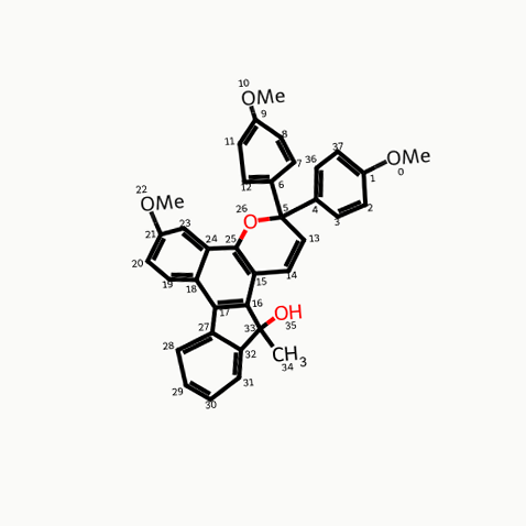 COc1ccc(C2(c3ccc(OC)cc3)C=Cc3c4c(c5ccc(OC)cc5c3O2)-c2ccccc2C4(C)O)cc1